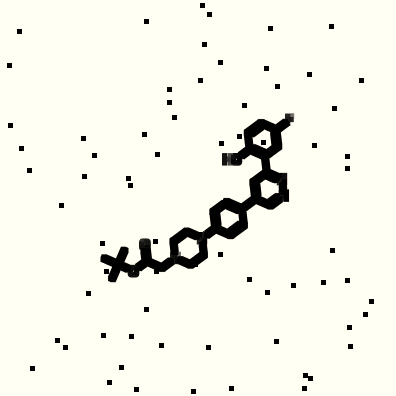 CC(C)(C)OC(=O)CN1CCN(c2ccc(-c3cnnc(-c4cc(F)ccc4O)c3)cc2)CC1